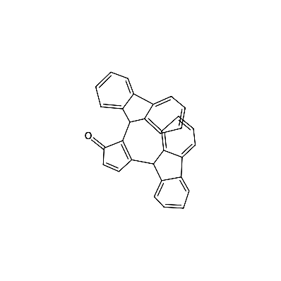 O=C1C=CC(C2c3ccccc3-c3ccccc32)=C1C1c2ccccc2-c2ccccc21